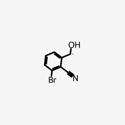 N#Cc1c(Br)cccc1[CH]O